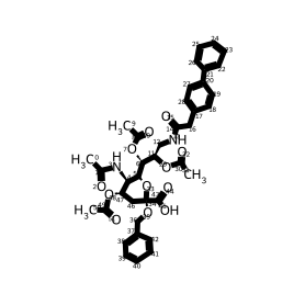 CC(=O)N[C@H]1[C@H]([C@H](OC(C)=O)[C@@H](CNC(=O)Cc2ccc(-c3ccccc3)cc2)OC(C)=O)O[C@@](OCc2ccccc2)(C(=O)O)C[C@@H]1OC(C)=O